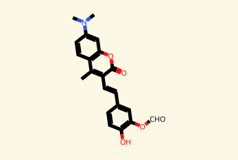 Cc1c(/C=C/c2ccc(O)c(OC=O)c2)c(=O)oc2cc(N(C)C)ccc12